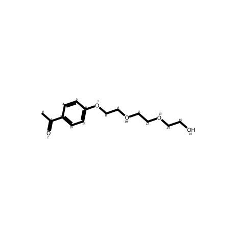 CC(=O)c1ccc(OCCOCCOCCO)cc1